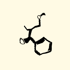 COCC(C)C(=O)c1ccccc1